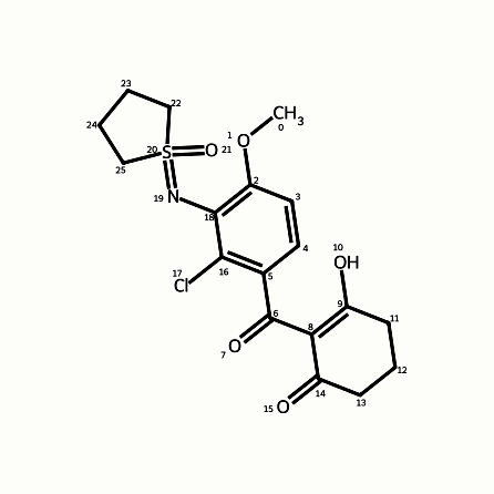 COc1ccc(C(=O)C2=C(O)CCCC2=O)c(Cl)c1N=S1(=O)CCCC1